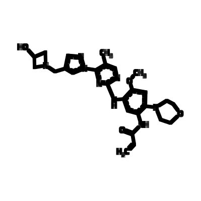 C=CC(=O)Nc1cc(Nc2ncc(C)c(-n3cc(CN4CC(O)C4)cn3)n2)c(OC)cc1N1CCOCC1